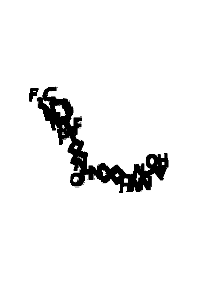 O=C(N1CC2(CC(c3nc(C4(O)CC4)n[nH]3)C2)C1)N1CC2(CC(C(F)(F)c3ccc(C(F)(F)F)nn3)C2)C1